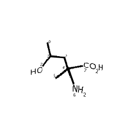 CC(O)CC(C)(N)C(=O)O